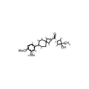 COc1ccc(C2CCC3(CC2)CN(C(=O)[C@H]2C[C@@](C)(O)C2)C3)cc1C(C)(C)C